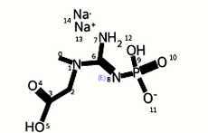 CN(CC(=O)O)/C(N)=N/P(=O)([O-])O.[Na+].[Na]